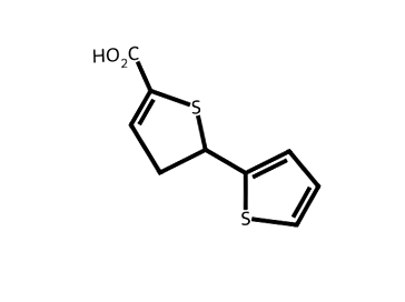 O=C(O)C1=CCC(c2cccs2)S1